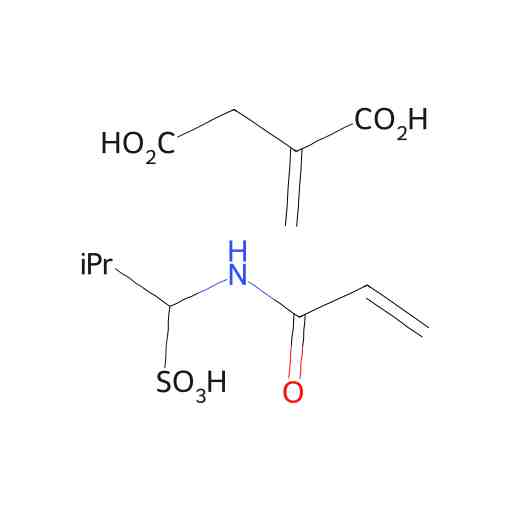 C=C(CC(=O)O)C(=O)O.C=CC(=O)NC(C(C)C)S(=O)(=O)O